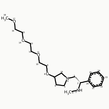 CN[C@H](CN1CCC(OCCOCCOCCOC)C1)c1ccccc1